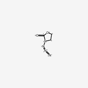 [N-]=[N+]=NN1CCOC1=O